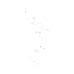 CC(C)(C)OC(=O)Nc1cccc2ccn(CC(=O)NCC(F)(F)F)c(=O)c12